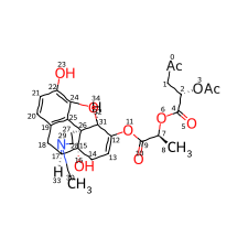 CC(=O)C[C@H](OC(C)=O)C(=O)O[C@@H](C)C(=O)OC1=CC[C@@]2(O)[C@H]3Cc4ccc(O)c5c4[C@@]2(CCN3C)[C@H]1O5